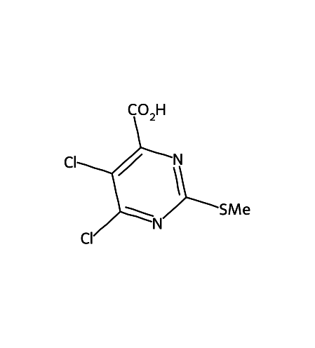 CSc1nc(Cl)c(Cl)c(C(=O)O)n1